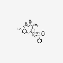 NC(=N[N+](=O)[O-])C(N)CC[C@H](NC(=O)C(c1ccccc1)c1ccccc1)C(=O)NCc1ccc(O)cc1